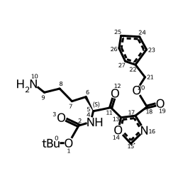 CC(C)(C)OC(=O)N[C@@H](CCCCN)C(=O)c1o[c]nc1C(=O)OCc1ccccc1